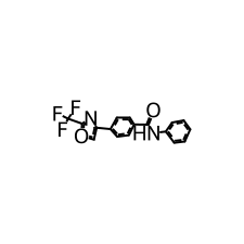 O=C(Nc1ccccc1)c1ccc(-c2coc(C(F)(F)F)n2)cc1